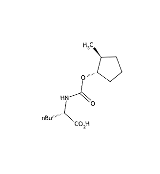 CCCC[C@H](NC(=O)O[C@H]1CCC[C@@H]1C)C(=O)O